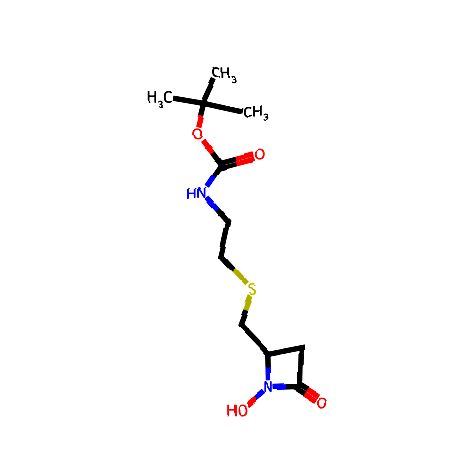 CC(C)(C)OC(=O)NCCSCC1CC(=O)N1O